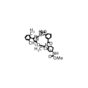 COC(=O)NC1CCC(N2C(=O)c3cccc(c3)S(=O)(=O)Nc3nc(cc(-c4c(C)cccc4C)n3)O[C@@H](C)[C@H]2C)CC1